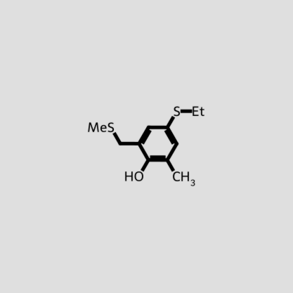 CCSc1cc(C)c(O)c(CSC)c1